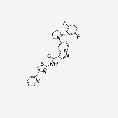 O=C(Nc1nc(-c2ccccn2)cs1)c1cnn2ccc(N3CCC[C@@H]3c3cc(F)ccc3F)cc12